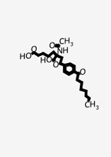 CCCCCCCC(=O)c1ccc(CCC(CCCCC(=O)O)(NC(C)=O)C(=O)O)cc1